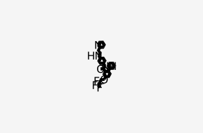 O=C(Nc1ccc(NCCc2ccccn2)cc1)c1cc(OCC(F)(F)C(F)F)ccc1-c1ccccc1